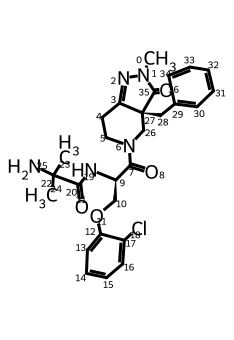 CN1N=C2CCN(C(=O)[C@@H](COc3ccccc3Cl)NC(=O)C(C)(C)N)C[C@@]2(Cc2ccccc2)C1=O